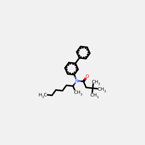 CCCCCC(C)N(C(=O)CC(C)(C)C)c1cccc(-c2ccccc2)c1